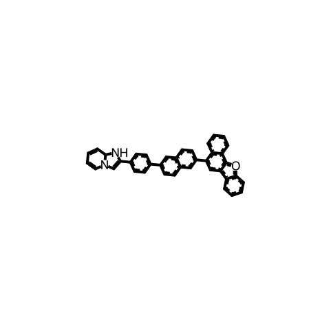 C1=CC2NC(c3ccc(-c4ccc5cc(-c6cc7c8ccccc8oc7c7ccccc67)ccc5c4)cc3)=CN2C=C1